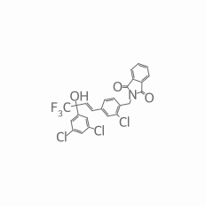 O=C1c2ccccc2C(=O)N1Cc1ccc(C=CC(O)(c2cc(Cl)cc(Cl)c2)C(F)(F)F)cc1Cl